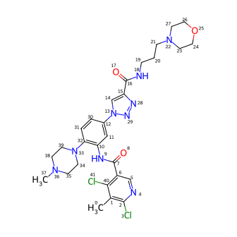 Cc1c(Cl)ncc(C(=O)Nc2cc(-n3cc(C(=O)NCCCN4CCOCC4)nn3)ccc2N2CCN(C)CC2)c1Cl